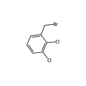 Clc1cccc([CH]Br)c1Cl